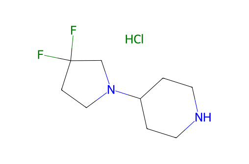 Cl.FC1(F)CCN(C2CCNCC2)C1